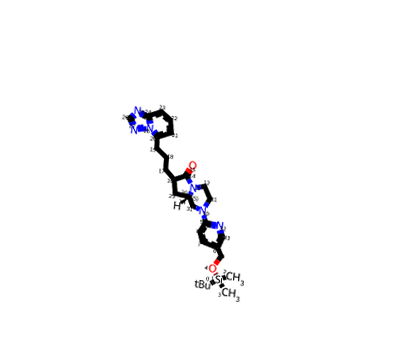 CC(C)(C)[Si](C)(C)OCc1ccc(N2CCN3C(=O)C(CCCc4cccc5ncnn45)C[C@H]3C2)nc1